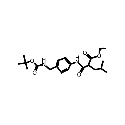 CCOC(=O)C(CC(C)C)C(=O)Nc1ccc(CNC(=O)OC(C)(C)C)cc1